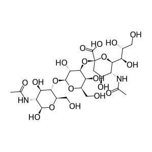 CC(=O)N[C@@H]1[C@@H](O)[C@H](O[C@@H]2O[C@H](CO)[C@H](O)[C@H](O[C@]3(C(=O)O)C[C@H](O)[C@@H](NC(C)=O)[C@H]([C@H](O)[C@H](O)CO)O3)[C@H]2O)[C@@H](CO)O[C@H]1O